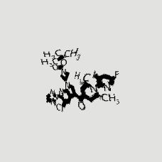 C[C@@H]1CC(C(=O)c2cn(C3CN(C(=O)OC(C)(C)C)C3)c3nc(-n4nccn4)c(Cl)cc23)C[C@@H](C)N1c1ncc(F)cc1I